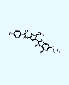 COc1cc(F)c2[nH]c(-c3cc(NC(=O)c4ccc(F)cc4)nn3C)nc2c1